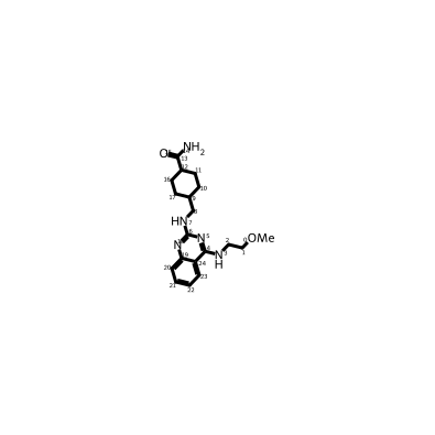 COCCNc1nc(NCC2CCC(C(N)=O)CC2)nc2ccccc12